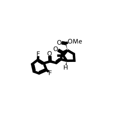 COC(=O)[C@@]12CC[C@@H](/C(=C/C(=O)c3c(F)cccc3F)C1=O)C2C